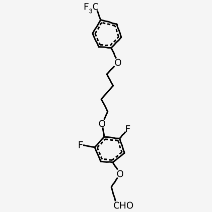 O=CCOc1cc(F)c(OCCCCOc2ccc(C(F)(F)F)cc2)c(F)c1